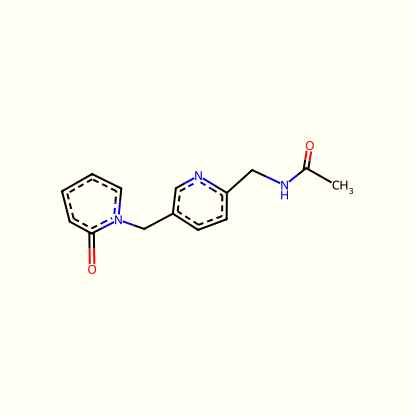 CC(=O)NCc1ccc(Cn2ccccc2=O)cn1